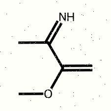 C=C(OC)C(C)=N